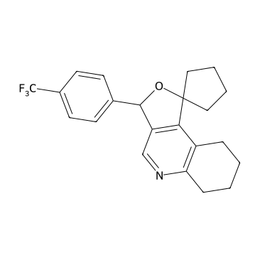 FC(F)(F)c1ccc(C2OC3(CCCC3)c3c2cnc2c3CCCC2)cc1